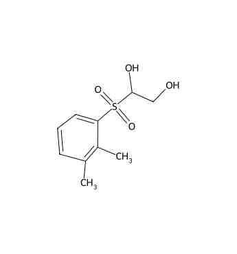 Cc1cccc(S(=O)(=O)C(O)CO)c1C